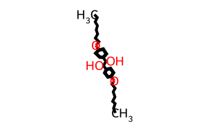 CCCCCCCCOc1ccc(C(O)C(O)c2ccc(OCCCCCCCC)cc2)cc1